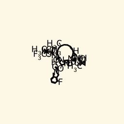 C[C@H]1CCC=C[C@@H]2C[C@@]2(C(=O)NS(=O)(=O)C2(C)CC2)NC(=O)[C@@H]2C[C@@H](OC(=O)N3Cc4cccc(F)c4C3)CN2C(=O)[C@@H](NC(=O)OC(C)(C)C(F)(F)F)[C@H](C)C1